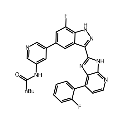 CCCCC(=O)Nc1cncc(-c2cc(F)c3[nH]nc(-c4nc5c(-c6ccccc6F)ccnc5[nH]4)c3c2)c1